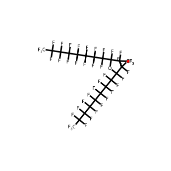 FC(F)(F)C(F)(F)C(F)(F)C(F)(F)C(F)(F)C(F)(F)C(F)(F)C(F)(F)C(F)(OC(F)(C(F)(F)C(F)(F)F)C(F)(F)C(F)(F)C(F)(F)C(F)(F)C(F)(F)C(F)(F)C(F)(F)C(F)(F)F)C(F)(F)C(F)(F)F